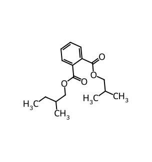 CCC(C)COC(=O)c1ccccc1C(=O)OCC(C)C